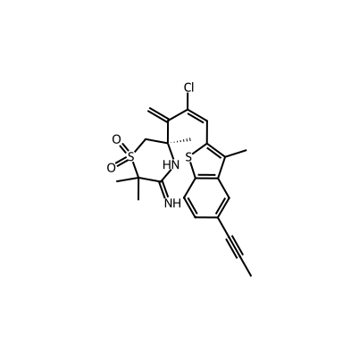 C=C(/C(Cl)=C\c1sc2ccc(C#CC)cc2c1C)[C@]1(C)CS(=O)(=O)C(C)(C)C(=N)N1